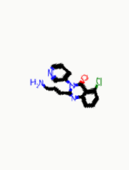 NCCCc1nc2cccc(Cl)c2c(=O)n1-c1cccnc1